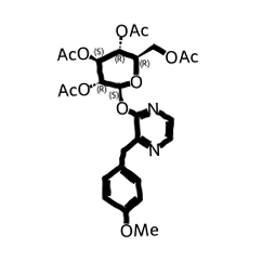 COc1ccc(Cc2nccnc2O[C@@H]2O[C@H](COC(C)=O)[C@@H](OC(C)=O)[C@H](OC(C)=O)[C@H]2OC(C)=O)cc1